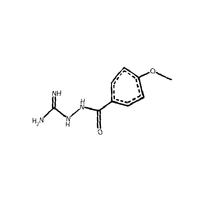 COc1ccc(C(=O)NNC(=N)N)cc1